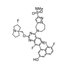 CCc1c(F)ccc2cc(O)cc(-c3ncc4c(N5CCCn6nc(S(=O)(=O)NC)cc6C5)nc(OC[C@@]56CCCN5C[C@H](F)C6)nc4c3F)c12